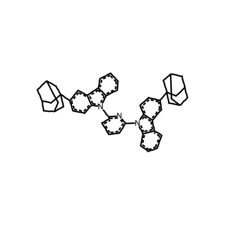 c1cc(-n2c3ccccc3c3cc(C45CC6CC(CC(C6)C4)C5)ccc32)nc(-n2c3ccccc3c3cc(C45CC6CC(CC(C6)C4)C5)ccc32)c1